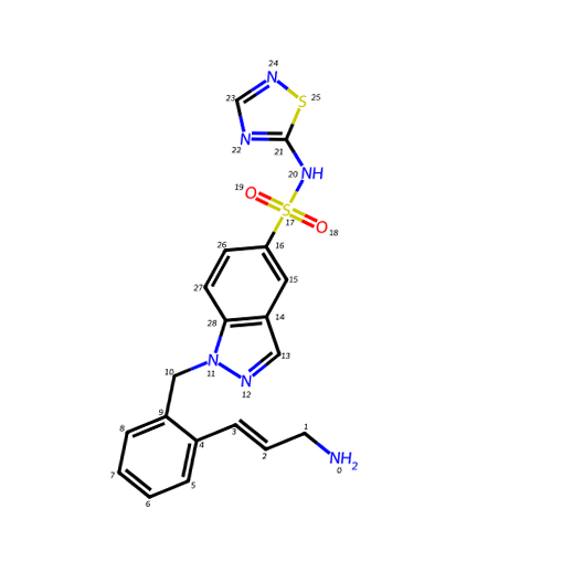 NCC=Cc1ccccc1Cn1ncc2cc(S(=O)(=O)Nc3ncns3)ccc21